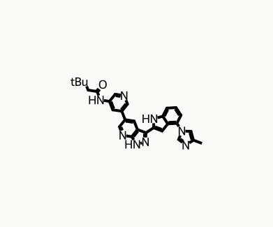 Cc1cn(-c2cccc3[nH]c(-c4n[nH]c5ncc(-c6cncc(NC(=O)CC(C)(C)C)c6)cc45)cc23)cn1